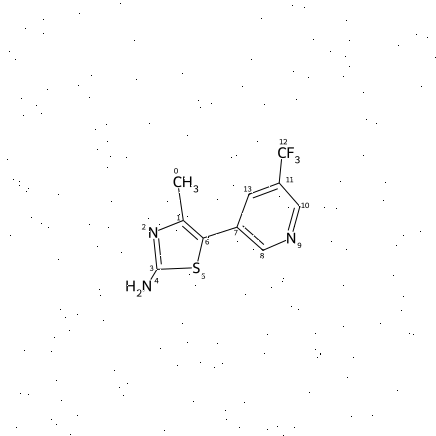 Cc1nc(N)sc1-c1cncc(C(F)(F)F)c1